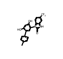 Cc1ccc(-c2cc(-n3c(=O)[nH]c4cc(C(F)(F)F)ccc43)c(O)cc2O)cc1